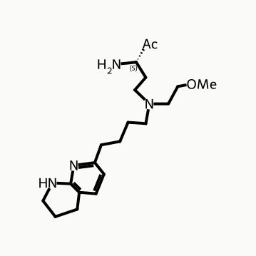 COCCN(CCCCc1ccc2c(n1)NCCC2)CC[C@H](N)C(C)=O